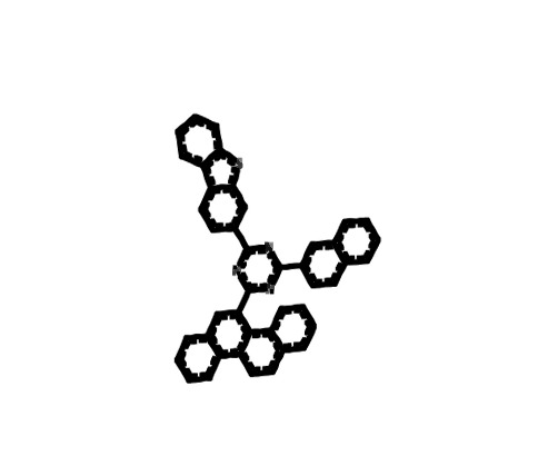 c1ccc2cc(-c3nc(-c4ccc5c(c4)sc4ccccc45)nc(-c4cc5ccccc5c5ccc6ccccc6c45)n3)ccc2c1